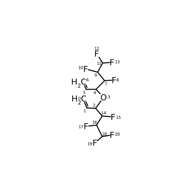 C=CC(OC(C=C)C(F)C(F)C(F)F)C(F)C(F)C(F)F